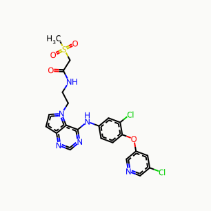 CS(=O)(=O)CC(=O)NCCn1ccc2ncnc(Nc3ccc(Oc4cncc(Cl)c4)c(Cl)c3)c21